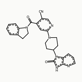 N#Cc1cnc(N2CCC(n3c(=O)[nH]c4ncccc43)CC2)cc1C(=O)N1CCc2ccccc21